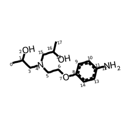 CC(O)CN(CCOc1ccc(N)cc1)CC(C)O